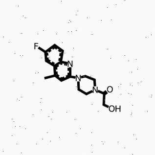 Cc1cc(N2CCN(C(=O)CO)CC2)nc2ccc(F)cc12